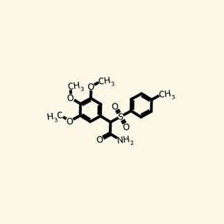 COc1cc(C(C(N)=O)S(=O)(=O)c2ccc(C)cc2)cc(OC)c1OC